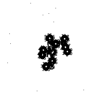 c1ccc2cc3c(cc2c1)c1ccccc1n3-c1cc(C2CCC(c3ccc4sc5ccccc5c4c3)=NC(c3cccc4ccccc34)=N2)c2oc3ccccc3c2c1